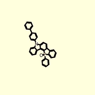 O=P1(c2ccccc2)c2ccccc2-c2ccc3c(c21)c1ccccc1n3-c1ccc(-c2ccccc2)cc1